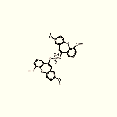 COc1ccc2c(c1)C=C(OP(=O)(O)OC1=Cc3cc(OC)ccc3Sc3c(OC)cccc31)c1cccc(OC)c1S2